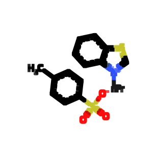 CCC[n+]1csc2ccccc21.Cc1ccc(S(=O)(=O)[O-])cc1